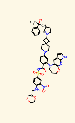 CC(C)(O)c1ccccc1[C@@H]1CCCN1C1CC2(CCN(c3ccc(C(=O)NS(=O)(=O)c4ccc(NC[C@H]5COCCO5)c([N+](=O)[O-])c4)c(N4CCCOc5nc6[nH]ccc6cc54)c3)CC2)C1